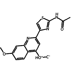 [CH2-][OH+]c1cc(-c2csc(NC(C)=O)n2)nc2cc(OC)ccc12